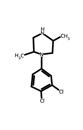 CC1CN(c2ccc(Cl)c(Cl)c2)C(C)CN1